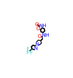 O=C(C=C1CCN(c2ccc(C(F)(F)F)cn2)CC1)Nc1ccc2[nH]c(=O)oc2c1